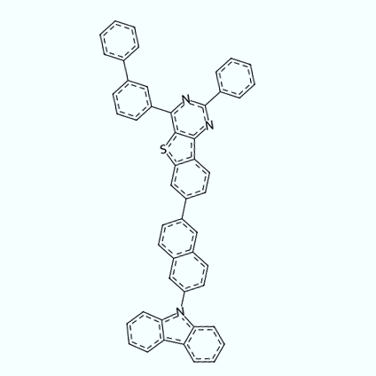 c1ccc(-c2cccc(-c3nc(-c4ccccc4)nc4c3sc3cc(-c5ccc6cc(-n7c8ccccc8c8ccccc87)ccc6c5)ccc34)c2)cc1